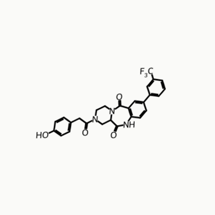 O=C1Nc2ccc(-c3cccc(C(F)(F)F)c3)cc2C(=O)N2CCN(C(=O)Cc3ccc(O)cc3)CC12